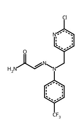 NC(=O)C=NN(Cc1ccc(Cl)nc1)c1ccc(C(F)(F)F)cc1